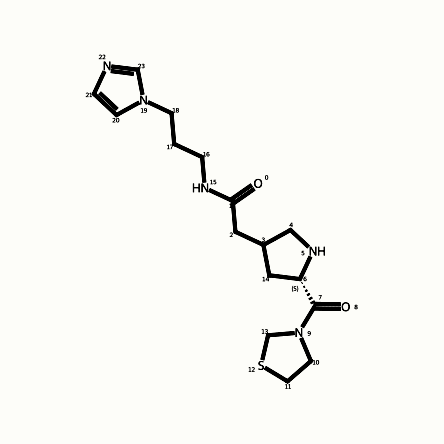 O=C(CC1CN[C@H](C(=O)N2CCSC2)C1)NCCCn1ccnc1